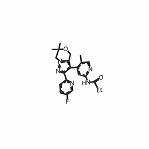 CCC(=O)Nc1cc(-c2c(-c3ccc(F)cn3)nn3c2COC(C)(C)C3)c(C)cn1